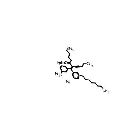 CCCC#CC(C(=C=[N+]=[N-])CCCCC)=C(c1cccc(C)c1)c1cccc(CCCCCCCC)c1.[Ni]